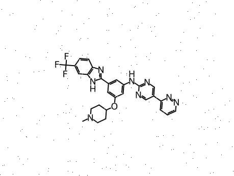 CN1CCC(Oc2cc(Nc3ncc(-c4cccnn4)cn3)cc(-c3nc4ccc(C(F)(F)F)cc4[nH]3)c2)CC1